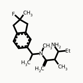 C=C(C(C)C(N)CC)N(C)C(C)c1ccc2c(c1)CC(C)(F)C2